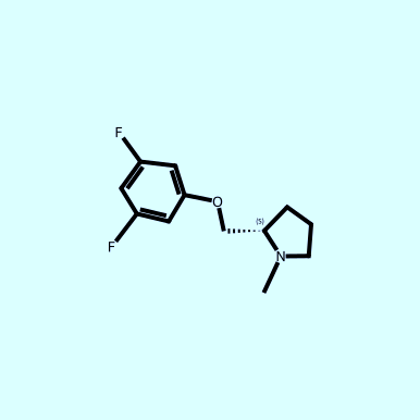 CN1CCC[C@H]1COc1cc(F)cc(F)c1